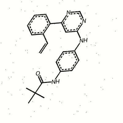 C=Cc1ccccc1-c1cc(Nc2ccc(NC(=O)C(C)(C)C)cc2)ncn1